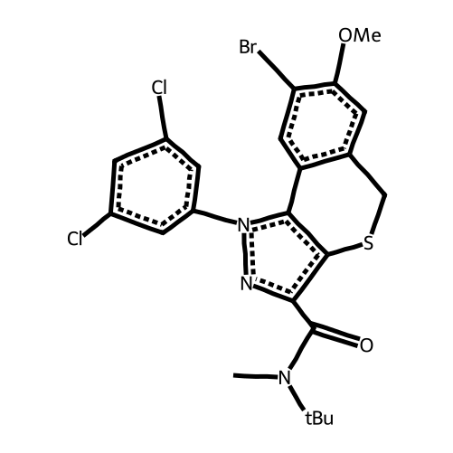 COc1cc2c(cc1Br)-c1c(c(C(=O)N(C)C(C)(C)C)nn1-c1cc(Cl)cc(Cl)c1)SC2